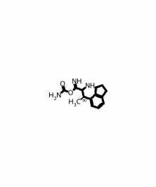 C[C@H](c1cccc2c1CCC2)C(N)C(=N)OC(N)=O